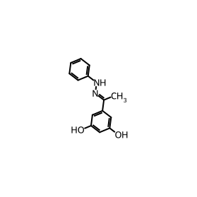 C/C(=N\Nc1ccccc1)c1cc(O)cc(O)c1